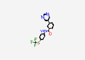 O=C(Nc1ccc(SC(F)(F)F)cc1)c1cccc(-c2cncnc2)c1